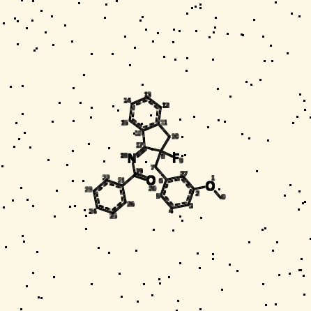 COc1cccc(CC2(F)Cc3ccccc3/C2=N/C(=O)c2ccccc2)c1